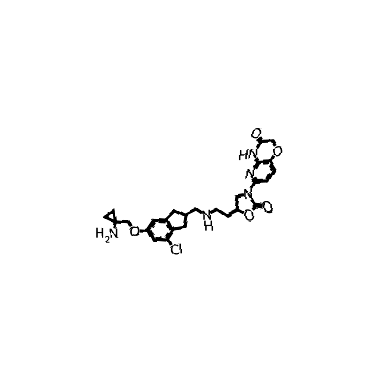 NC1(COc2cc(Cl)c3c(c2)CC(CNCCC2CN(c4ccc5c(n4)NC(=O)CO5)C(=O)O2)C3)CC1